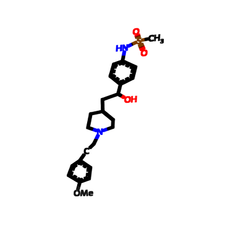 COc1ccc(CCN2CCC(CC(O)c3ccc(NS(C)(=O)=O)cc3)CC2)cc1